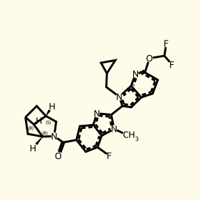 Cn1c(-c2cc3ccc(OC(F)F)nc3n2CC2CC2)nc2cc(C(=O)N3C[C@H]4CC5C[C@@H]3[C@H]54)cc(F)c21